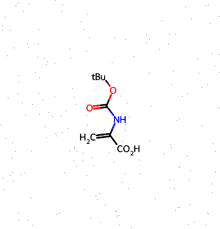 C=C(NC(=O)OC(C)(C)C)C(=O)O